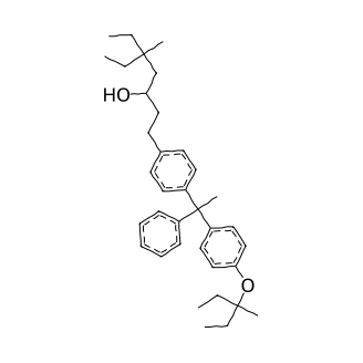 CCC(C)(CC)CC(O)CCc1ccc(C(C)(c2ccccc2)c2ccc(OC(C)(CC)CC)cc2)cc1